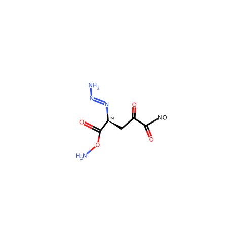 NN=N[C@@H](CC(=O)C(=O)N=O)C(=O)ON